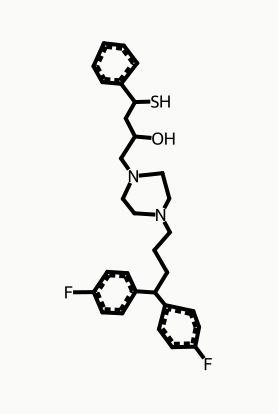 OC(CC(S)c1ccccc1)CN1CCN(CCCC(c2ccc(F)cc2)c2ccc(F)cc2)CC1